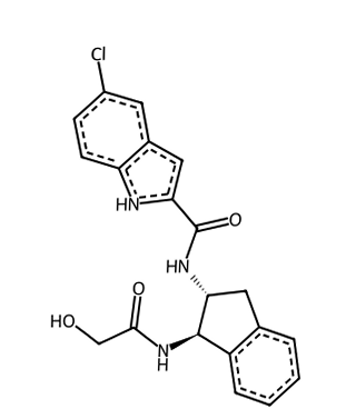 O=C(CO)N[C@@H]1c2ccccc2C[C@H]1NC(=O)c1cc2cc(Cl)ccc2[nH]1